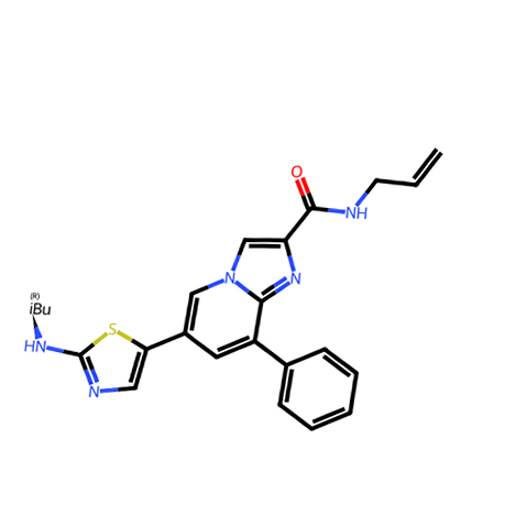 C=CCNC(=O)c1cn2cc(-c3cnc(N[C@H](C)CC)s3)cc(-c3ccccc3)c2n1